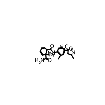 CC1=NOC(c2ccc(NC(=O)C3C=CC=CC3(C(N)=O)C(C)C)c(C)c2)(C(F)(F)F)C1